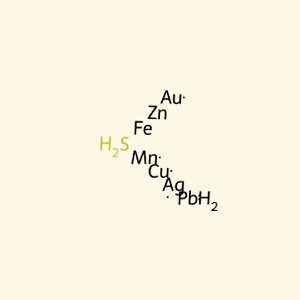 S.[Ag].[Au].[Cu].[Fe].[Mn].[PbH2].[Zn]